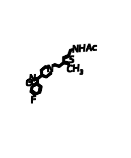 CC(=O)NCc1cc(CCN2CCC(c3noc4cc(F)ccc34)CC2)c(C)s1